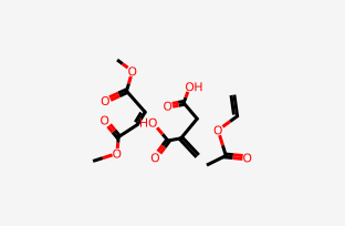 C=C(CC(=O)O)C(=O)O.C=COC(C)=O.COC(=O)/C=C\C(=O)OC